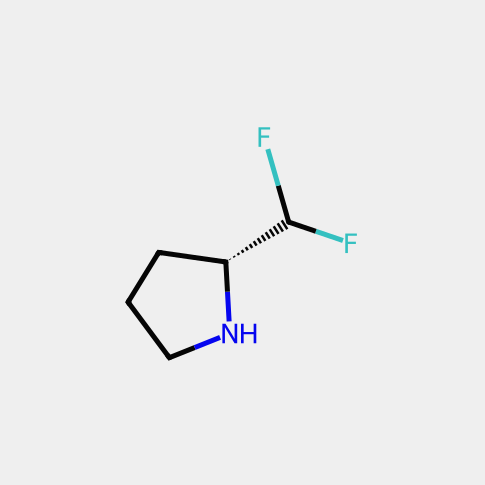 FC(F)[C@H]1CCCN1